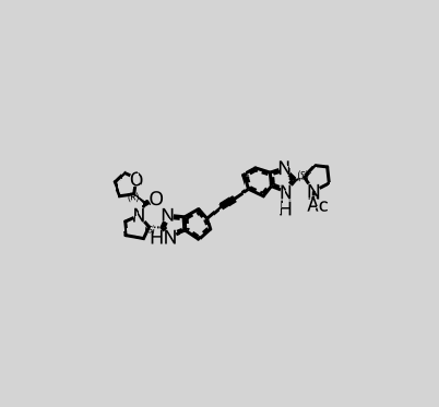 CC(=O)N1CCC[C@H]1c1nc2ccc(C#Cc3ccc4[nH]c([C@@H]5CCCN5C(=O)[C@H]5CCCO5)nc4c3)cc2[nH]1